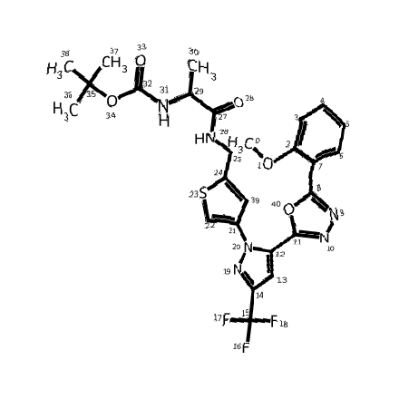 COc1ccccc1-c1nnc(-c2cc(C(F)(F)F)nn2-c2csc(CNC(=O)C(C)NC(=O)OC(C)(C)C)c2)o1